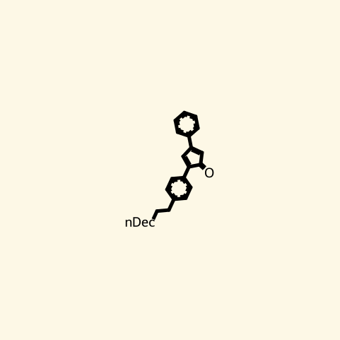 CCCCCCCCCCCCc1ccc(C2=CC(c3ccccc3)=CC2=O)cc1